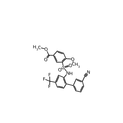 COC(=O)c1ccc(OC)c(S(=O)(=O)Nc2cc(C(F)(F)F)ccc2-c2cccc(C#N)c2)c1